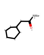 C[N]C(=O)CC1CCCCC1